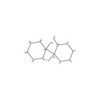 C[C]1CCCCC1(C)C1(C)CCCCC1